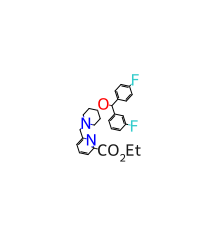 CCOC(=O)c1cccc(CN2CCC(OC(c3ccc(F)cc3)c3cccc(F)c3)CC2)n1